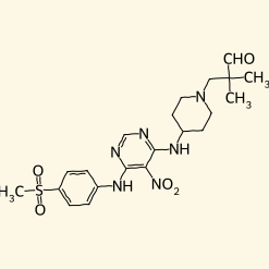 CC(C)(C=O)CN1CCC(Nc2ncnc(Nc3ccc(S(C)(=O)=O)cc3)c2[N+](=O)[O-])CC1